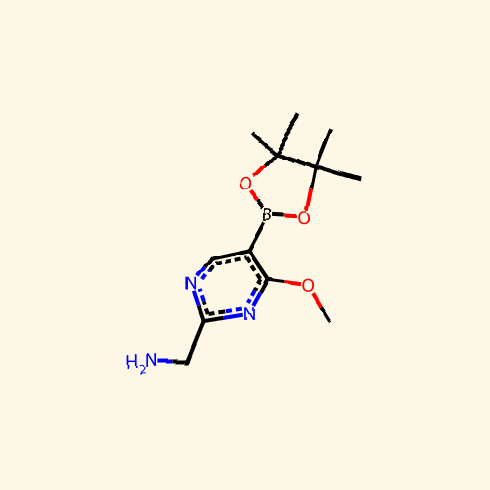 COc1nc(CN)ncc1B1OC(C)(C)C(C)(C)O1